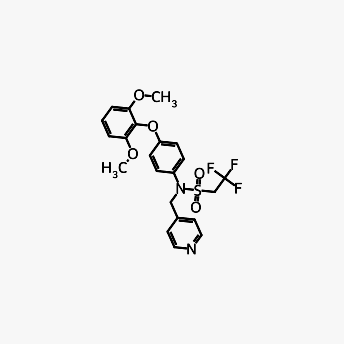 COc1cccc(OC)c1Oc1ccc(N(Cc2ccncc2)S(=O)(=O)CC(F)(F)F)cc1